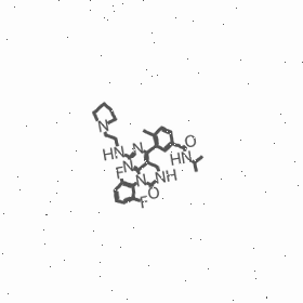 Cc1ccc(C(=O)NC(C)C)cc1-c1nc(NCCN2CCCCC2)nc2c1CNC(=O)N2c1c(F)cccc1F